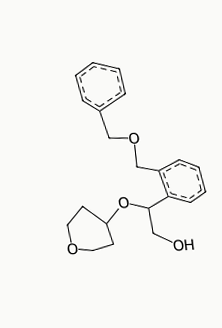 OCC(OC1CCOCC1)c1ccccc1COCc1ccccc1